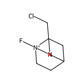 F[N+]12CCC(CC1)CN2CCl